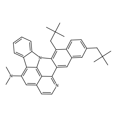 CN(C)c1cc2ccnc3c4cc5cc(CC(C)(C)C)ccc5c(CC(C)(C)C)c4n4c5ccccc5c1c4c23